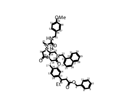 CCC(CC(=O)OCc1ccccc1)c1ccc(C[C@H]2C(=O)N(Cc3cccc4ccccc34)C[C@H]3N2C(=O)CN3N(C)C(=O)NCc2ccc(OC)cc2)cc1